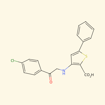 O=C(CNc1cc(-c2ccccc2)sc1C(=O)O)c1ccc(Cl)cc1